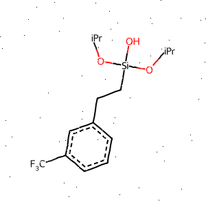 CC(C)O[Si](O)(CCc1cccc(C(F)(F)F)c1)OC(C)C